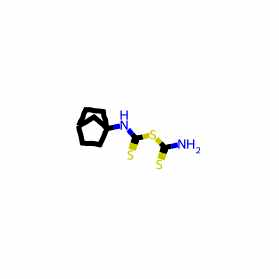 NC(=S)SC(=S)NC12CCC(CC1)C2